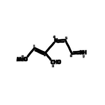 CO/C=C(C=O)/N=C\C=N